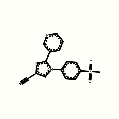 CS(=O)(=O)c1ccc(-n2cc(C#N)nc2-c2cccnc2)cc1